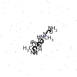 C/C(=N\CCC(N)=O)Nc1ccc2[nH]c(-c3cn4ncnc4c(C)c3C)c(C(C)C)c2n1